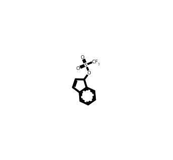 O=S(=O)(OC1C=Cc2ccccc21)C(F)(F)F